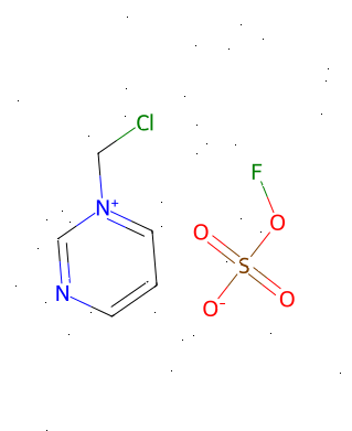 ClC[n+]1cccnc1.O=S(=O)([O-])OF